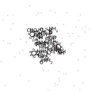 CNC(=N)NCCC[C@H](NC(=O)[C@H](CC(C)C)NC(=O)NNC(=O)[C@H](Cc1ccc(Cl)cc1)NC(=O)[C@@H](NC(=O)[C@H](CC(N)=O)NC(=O)C(C)(C)NC(=O)[C@@H](Cc1ccc(O)cc1)NC(C)=O)[C@@H](C)O)C(=O)N[C@@H](Cc1c[nH]c2ccccc12)C(N)=O